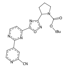 CC(C)(C)OC(=O)N1CCCC1c1noc(-c2ccnc(-c3ccnc(C#N)c3)n2)n1